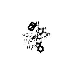 Cc1oc([C@@H](Cc2cn(C)c3ccccc23)NC(=O)[C@H](CC(C)C)NC(=O)NC2C3CC4CC(C3)CC2C4)nc1C(=O)O